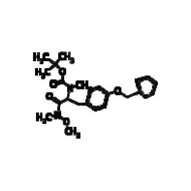 CON(C)C(=O)C(Cc1ccc(OCc2ccccc2)cc1)N(C)C(=O)OC(C)(C)C